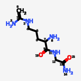 C=C(N)NCCCC(N)C(=O)NCC(N)=O